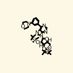 CC(C)(C)[Si](C)(C)O[C@H]1[C@H]2O[Si](C(C)(C)C)(C(C)(C)C)OC[C@H]2O[C@H]1n1cnc2c(-c3cccc(N4CCOCC4)c3)ncnc21